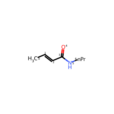 CC=CC(=O)NCCC